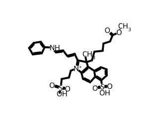 COC(=O)CCCCCC1(C)C(/C=C/C=C/Nc2ccccc2)=[N+](CCCS(=O)(=O)O)c2ccc3c(S(=O)(=O)O)cccc3c21